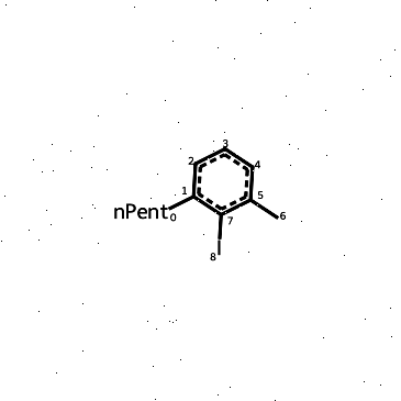 CCCCCc1cccc(C)c1I